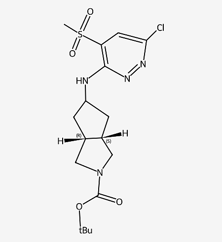 CC(C)(C)OC(=O)N1C[C@H]2CC(Nc3nnc(Cl)cc3S(C)(=O)=O)C[C@H]2C1